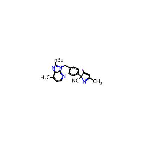 CCCCc1nc2c(C)ccnc2n1Cc1ccc(C2(C#N)N=C(C)C=C2I)cc1